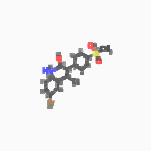 CCc1c(-c2ccc(S(C)(=O)=O)cc2)c(=O)[nH]c2ccc(Br)cc12